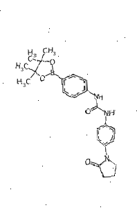 CC1(C)OB(c2ccc(NC(=O)Nc3ccc(N4CCCC4=O)cc3)cc2)OC1(C)C